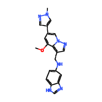 COc1cc(-c2cnn(C)c2)cn2ncc(CNc3ccc4[nH]cnc4c3)c12